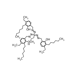 CCCCCCc1c(CC)ccc(C/N=N/[Si](CCC)(/N=N/Cc2ccc(CC)c(CCCCCC)c2O)/N=N/Cc2ccc(CC)c(CCCCCC)c2O)c1O